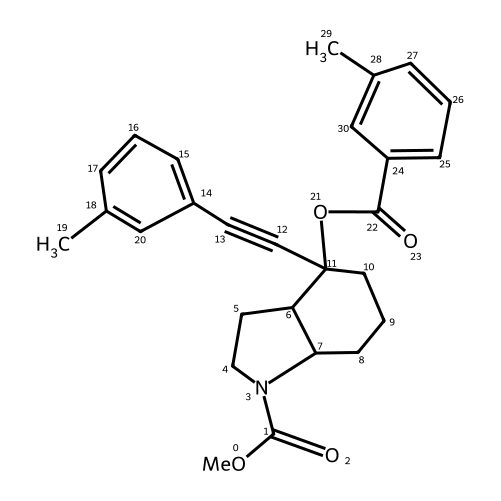 COC(=O)N1CCC2C1CCCC2(C#Cc1cccc(C)c1)OC(=O)c1cccc(C)c1